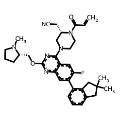 C=CC(=O)N1CCN(c2nc(OC[C@@H]3CCCN3C)nc3cc(-c4cccc5c4CC(C)(C)C5)c(F)cc23)C[C@@H]1CC#N